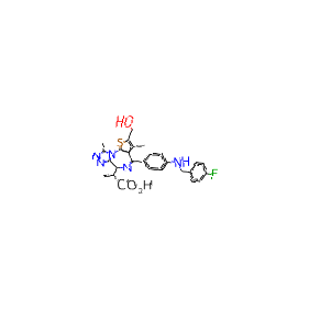 Cc1c(CO)sc2c1C(c1ccc(NCc3ccc(F)cc3)cc1)=NC([C@H](C)C(=O)O)c1nnc(C)n1-2